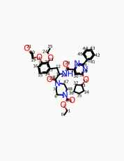 CCOC(=O)N1CCN(C(=O)C(Cc2cccc(OC=C=O)c2OCC)NC(=O)c2cc(OC3CCCC3)nc(-c3ccccc3)n2)CC1